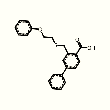 O=C(O)c1ccc(-c2ccccc2)cc1CSCCOc1ccccc1